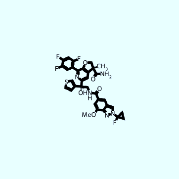 COc1cc(C(=O)NC[C@@](O)(c2ccsc2)c2cc3c(c(-c4cc(F)c(F)cc4F)n2)OC[C@]3(C)C(N)=O)cc2cn(C3(F)CC3)nc12